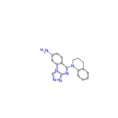 Nc1ccc2c(N3CCCc4ccccc43)nc3nncn3c2c1